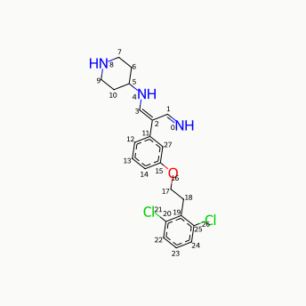 N=C/C(=C\NC1CCNCC1)c1cccc(OCCc2c(Cl)cccc2Cl)c1